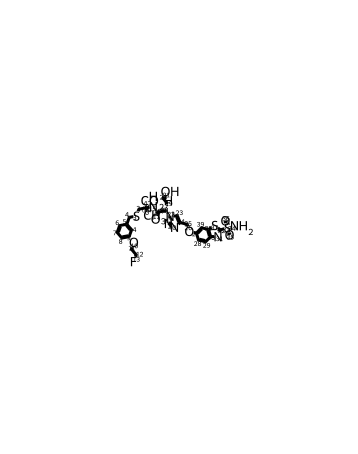 C[C@](CSCc1cccc(OCCF)c1)(NC(=O)[C@H](CCO)n1cc(COc2ccc3nc(S(N)(=O)=O)sc3c2)nn1)C(=O)O